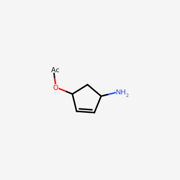 CC(=O)OC1C=CC(N)C1